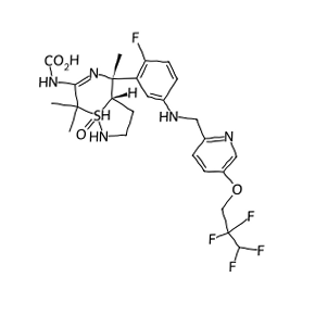 CC1(C)C(NC(=O)O)=N[C@](C)(c2cc(NCc3ccc(OCC(F)(F)C(F)F)cn3)ccc2F)[C@@H]2CCN[SH]21=O